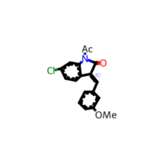 COc1cccc(/C=C2/C(=O)N(C(C)=O)c3cc(Cl)ccc32)c1